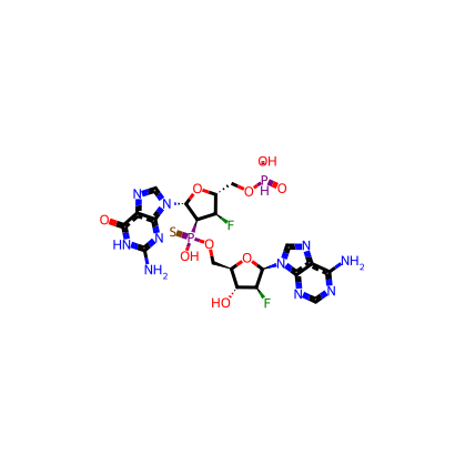 Nc1nc2c(ncn2[C@@H]2O[C@H](CO[PH](=O)O)[C@@H](F)[C@H]2P(O)(=S)OC[C@H]2O[C@@H](n3cnc4c(N)ncnc43)[C@@H](F)[C@@H]2O)c(=O)[nH]1